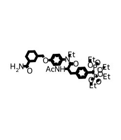 CCOP(=O)(OCC)C(c1ccc(CC(NC(C)=O)C(=O)N(CC)c2ccc(OCC3CCCC(C(N)=O)C3)cc2)cc1)P(=O)(OCC)OCC